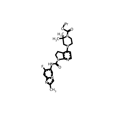 Cc1cn2cc(NC(=O)N3CCc4c(N5CCN(C(=O)OC(C)C)C(C)(C)C5)ccnc43)c(F)cc2n1